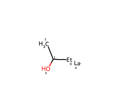 CCC(C)O.[La]